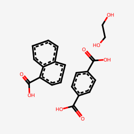 O=C(O)c1ccc(C(=O)O)cc1.O=C(O)c1cccc2ccccc12.OCCO